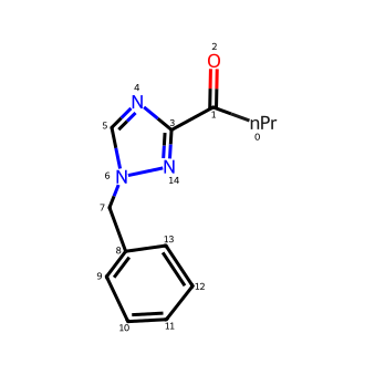 CCCC(=O)c1ncn(Cc2ccccc2)n1